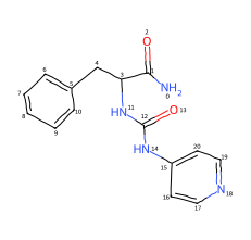 NC(=O)C(Cc1ccccc1)NC(=O)Nc1ccncc1